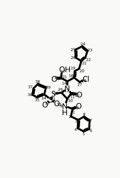 O=C(Cc1ccccc1)NC1C(=O)N(C(C(=O)O)C(=CCc2ccccc2)CCl)C1SS(=O)(=O)c1ccccc1